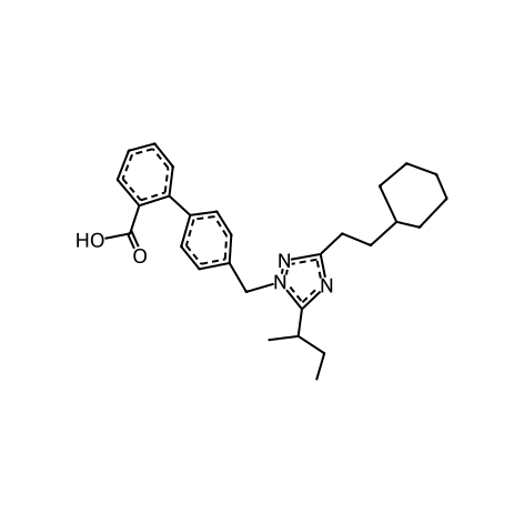 CCC(C)c1nc(CCC2CCCCC2)nn1Cc1ccc(-c2ccccc2C(=O)O)cc1